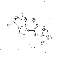 CC(C)[C@H]1CCN(C(=O)OC(C)(C)C)C1C(=O)O